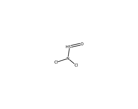 O=[SH]N(Cl)Cl